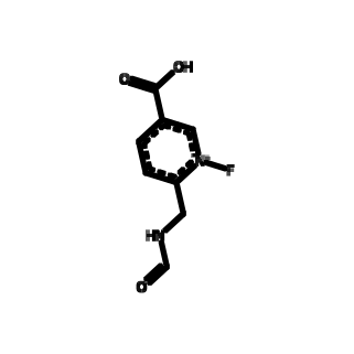 O=CNCc1ccc(C(=O)O)c[n+]1F